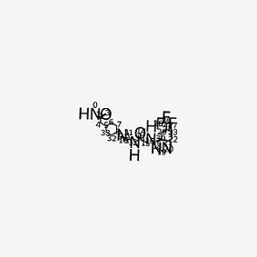 CNC(=O)CC1CCC(N2CC(NC(=O)CNc3ncnc4ccc(C(F)(F)F)cc34)C2)CC1